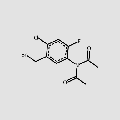 CC(=O)N(C(C)=O)c1cc(CBr)c(Cl)cc1F